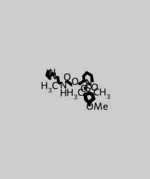 COc1cc(C)c(S(=O)(=O)N2CCCCC2COCC(=O)NC(C)Cn2cccn2)c(C)c1